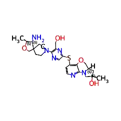 C[C@@H]1OCC2(CCN(c3ncc(Sc4ccnc5c4OC[C@@H]4C[C@](C)(O)CN54)nc3CO)CC2)[C@@H]1N